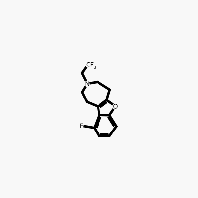 Fc1cccc2oc3c(c12)CCN(CC(F)(F)F)CC3